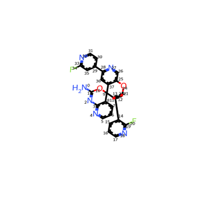 NC1=Nc2ncccc2C2(O1)c1cc(-c3cccnc3F)ccc1Oc1cnc(-c3ccnc(F)c3)cc12